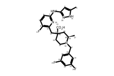 Cc1cc(Nc2ccc(F)c(C[C@@]3(C(=O)O)CCN(Cc4cc(F)cc(F)c4)[C@H](C)C3)n2)n[nH]1